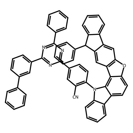 N#Cc1cc(-c2nc(-c3ccccc3)nc(-c3cccc(-c4ccccc4)c3)n2)ccc1-n1c2ccccc2c2ccc3oc4cc5c(cc4c3c21)C(c1ccccc1)c1ccccc1-5